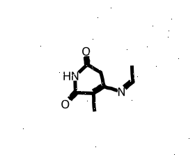 C/C=N\C1=C(C)C(=O)NC(=O)C1